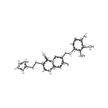 CCCc1c(OCc2cn3c(=O)c(CCc4nnn[nH]4)cnc3cc2C)ccc(C(C)=O)c1O